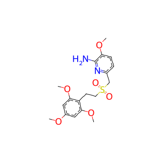 COc1cc(OC)c(CCS(=O)(=O)Cc2ccc(OC)c(N)n2)c(OC)c1